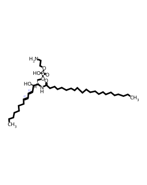 CCCCCCC/C=C/C=C/[C@@H](O)[C@H](COP(=O)(O)OCCN)NC(=O)CCCCCCCCCCCCCCCCCCCCC